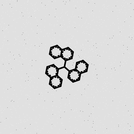 c1ccc2c(C(c3cccc4ccccc34)c3cccc4ccccc34)cccc2c1